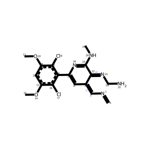 C=N/C=C1/C=C(c2c(Cl)c(OC)cc(OC)c2Cl)N=C(NC)/C1=N/CN